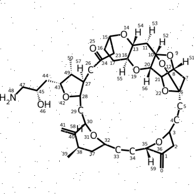 C=C1CC2CC[C@@]34C[C@H]5O[C@H]6[C@@H](O3)[C@H]3OC(CC[C@@H]3O[C@H]6C5O4)CC(=O)C[C@H]3C(C[C@H]4OC(CC[C@@H]1O2)C[C@@H](C)C4=C)O[C@H](C[C@H](O)CN)[C@@H]3C